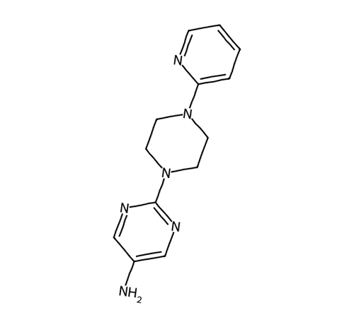 Nc1cnc(N2CCN(c3ccccn3)CC2)nc1